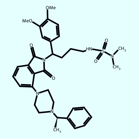 COc1ccc(C(CCCNS(=O)(=O)N(C)C)N2C(=O)c3cccc(N4CCN([C@H](C)c5ccccc5)CC4)c3C2=O)cc1OC